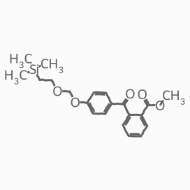 COC(=O)c1ccccc1C(=O)c1ccc(OCOCC[Si](C)(C)C)cc1